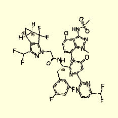 Cn1nc(NS(C)(=O)=O)c2c(Cl)ccc(-n3c([C@H](Cc4cc(F)cc(F)c4)NC(=O)Cn4nc(C(F)F)c5c4C(F)(F)[C@@H]4C[C@H]54)nc(-c4nccc(C(F)F)n4)cc3=O)c21